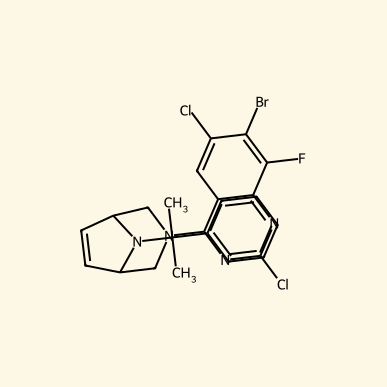 CC(C)(c1ccccc1)N1C2C=CC1CN(c1nc(Cl)nc3c(F)c(Br)c(Cl)cc13)C2